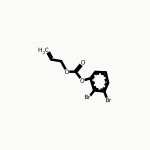 C=CCOC(=O)Oc1cccc(Br)c1Br